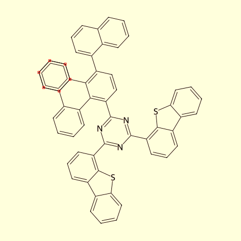 c1ccc(-c2ccccc2-c2c(-c3nc(-c4cccc5c4sc4ccccc45)nc(-c4cccc5c4sc4ccccc45)n3)ccc(-c3cccc4ccccc34)c2-c2ccccc2)cc1